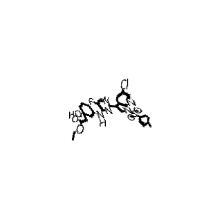 CCOC(=O)C[C@]1(O)CCC[C@H](Nc2nc(-c3cn(S(=O)(=O)c4ccc(C)cc4)c4ncc(Cl)cc34)ncc2F)C1